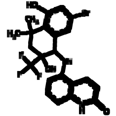 CC1(C)CC(O)(C(F)(F)F)C(Nc2cccc3[nH]c(=O)ccc23)c2cc(Br)cc(O)c21